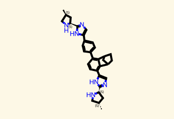 C[C@@H]1CN[C@H](c2ncc(-c3ccc(-c4ccc(-c5cnc([C@@H]6C[C@H](C)CN6)[nH]5)c5c4C4CCC5C4)cc3)[nH]2)C1